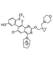 Oc1ccc(SC(F)(F)F)c(-c2c(Cl)cc3c(N4CC5CCC(C4)N5)nc(OCC4(CN5CCOCC5)CC4)nc3c2F)c1